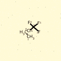 CC.FC(F)(F)Cl